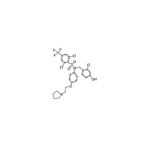 O=S(=O)(c1c(Cl)cc(C(F)(F)F)cc1Cl)N(Cc1ccc(O)cc1Cl)c1ccc(OCCN2CCCC2)cc1